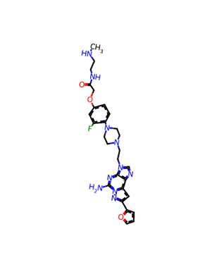 CNCCNC(=O)COc1ccc(N2CCN(CCn3cnc4c3nc(N)n3nc(-c5ccco5)cc43)CC2)c(F)c1